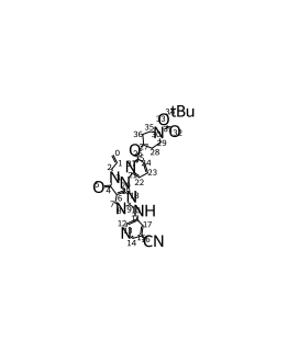 C=CCn1c(=O)c2cnc(Nc3cncc(C#N)c3)nc2n1-c1cccc(OC2CCN(C(=O)OC(C)(C)C)CC2)n1